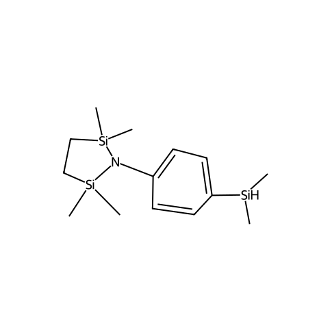 C[SiH](C)c1ccc(N2[Si](C)(C)CC[Si]2(C)C)cc1